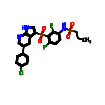 CCCS(=O)(=O)Nc1ccc(F)c(S(=O)(=O)c2c[nH]c3ncc(-c4ccc(Cl)cc4)cc23)c1F